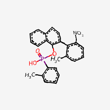 Cc1ccccc1P(=O)(O)Oc1c(-c2c(C)cccc2[N+](=O)[O-])ccc2ccccc12